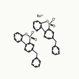 O=P1([O-])Oc2ccccc2-c2ccc(Cc3ccccc3)cc21.O=P1([O-])Oc2ccccc2-c2ccc(Cc3ccccc3)cc21.[Ba+2]